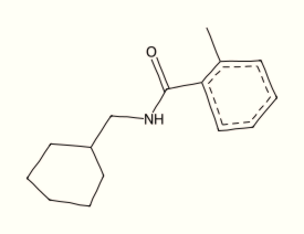 Cc1ccccc1C(=O)NCC1CCCCC1